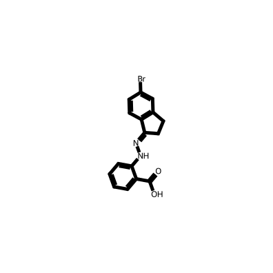 O=C(O)c1ccccc1NN=C1CCc2cc(Br)ccc21